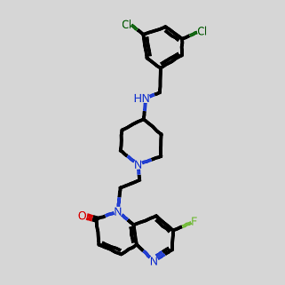 O=c1ccc2ncc(F)cc2n1CCN1CCC(NCc2cc(Cl)cc(Cl)c2)CC1